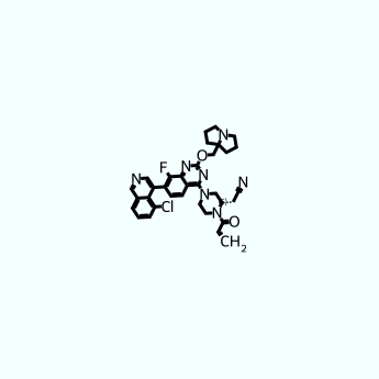 C=CC(=O)N1CCN(c2nc(OCC34CCCN3CCC4)nc3c(F)c(-c4cncc5cccc(Cl)c45)ccc23)C[C@@H]1CC#N